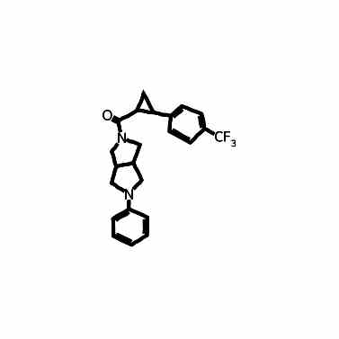 O=C(C1CC1c1ccc(C(F)(F)F)cc1)N1CC2CN(c3ccccc3)CC2C1